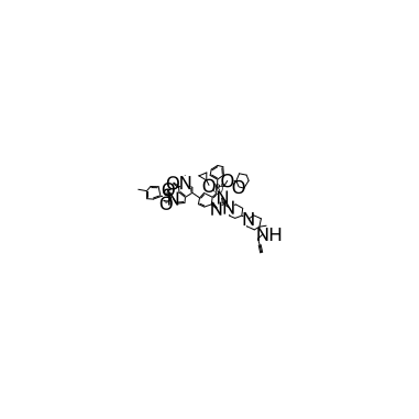 C#CCNC1(C)CCN(C2CCN(c3nc([C@](COC4CCCCO4)(OC4CC4)c4ccccc4)c4cc(-c5cn(C)c(=O)c6c5ccn6S(=O)(=O)c5ccc(C)cc5)ccc4n3)CC2)CC1